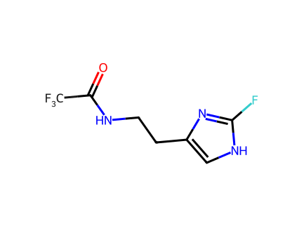 O=C(NCCc1c[nH]c(F)n1)C(F)(F)F